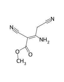 COC(=O)/C(C#N)=C(\N)CC#N